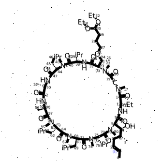 C/C=C/C[C@@H](C)[C@@H](O)[C@H]1C(=O)N[C@@H](CC)C(=O)N(C)CC(=O)N(C)[C@@H]([C@@H](C)OCCCC(OCC)OCC)C(=O)N[C@@H](C(C)C)C(=O)N(C)[C@@H](CC(C)C)C(=O)N[C@@H](C)C(=O)N[C@H](C)C(=O)N(C)[C@@H](CC(C)C)C(=O)N(C)[C@H](CC(C)C)C(=O)N(C)[C@@H](C(C)C)C(=O)N1C